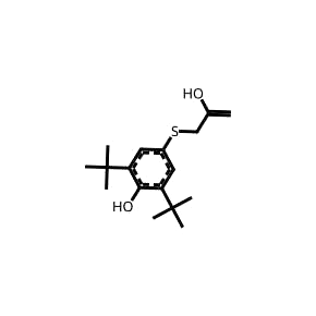 C=C(O)CSc1cc(C(C)(C)C)c(O)c(C(C)(C)C)c1